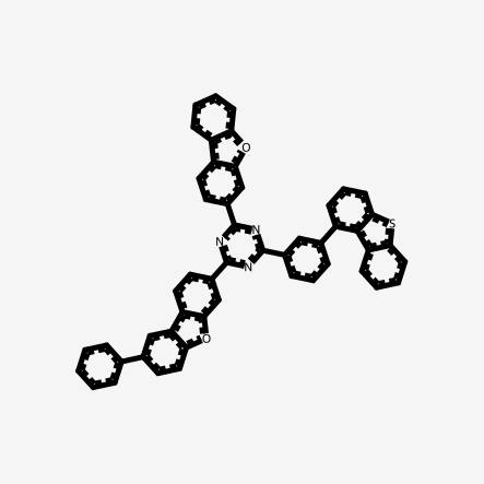 c1ccc(-c2ccc3oc4cc(-c5nc(-c6cccc(-c7cccc8sc9ccccc9c78)c6)nc(-c6ccc7c(c6)oc6ccccc67)n5)ccc4c3c2)cc1